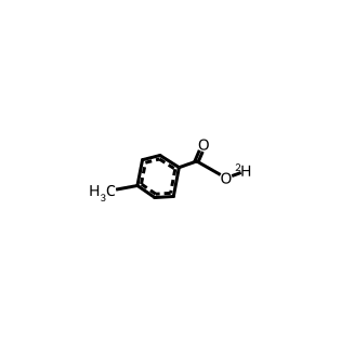 [2H]OC(=O)c1ccc(C)cc1